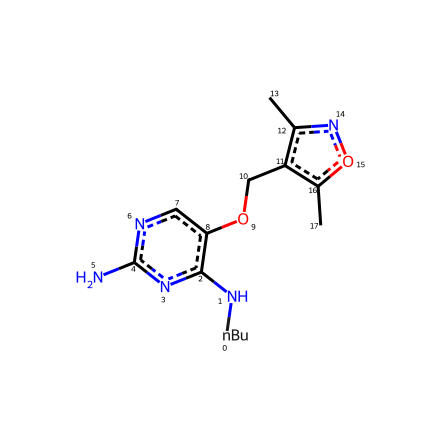 CCCCNc1nc(N)ncc1OCc1c(C)noc1C